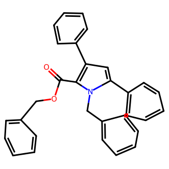 O=C(OCc1ccccc1)c1c(-c2ccccc2)cc(-c2ccccc2)n1Cc1ccccc1